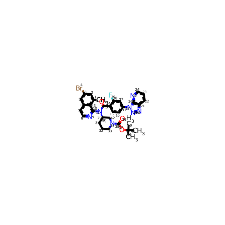 Cc1cc(Br)cc2ccnc(N(C(=O)c3ccc(-n4nnc5cccnc54)cc3F)[C@@H]3CCCN(C(=O)OC(C)(C)C)C3)c12